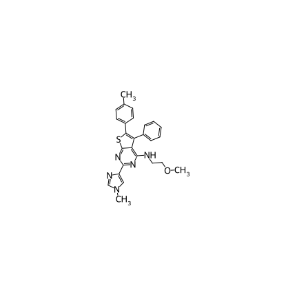 COCCNc1nc(-c2cn(C)cn2)nc2sc(-c3ccc(C)cc3)c(-c3ccccc3)c12